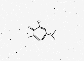 Cc1ccc(C(C)C)cc(O)c1=O